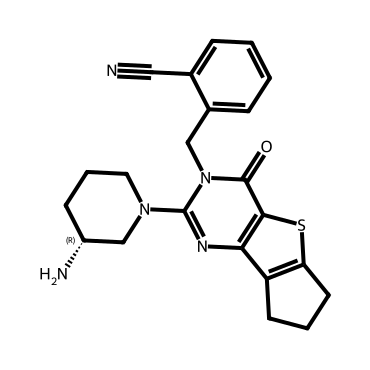 N#Cc1ccccc1Cn1c(N2CCC[C@@H](N)C2)nc2c3c(sc2c1=O)CCC3